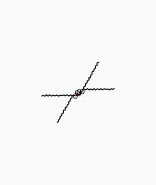 CCCCCCCCCCCCCCCCCCC(CCCCCCCCCCCCCCCCCC)COC(=O)/C=C\C(=O)OCC(CCCCCCCCCCCCCCCCCC)CCCCCCCCCCCCCCCCCC